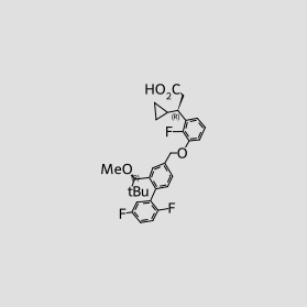 CO[C@@H](c1cc(COc2cccc([C@H](CC(=O)O)C3CC3)c2F)ccc1-c1cc(F)ccc1F)C(C)(C)C